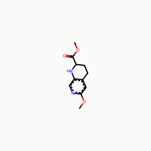 COC(=O)C1CCc2cc(OC)ncc2N1